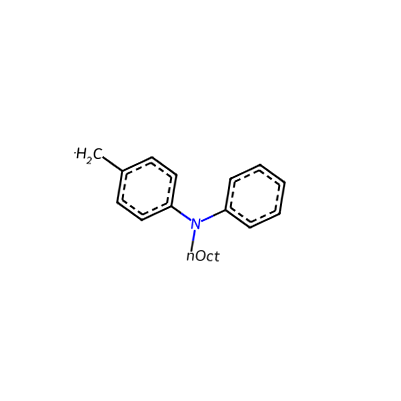 [CH2]c1ccc(N(CCCCCCCC)c2ccccc2)cc1